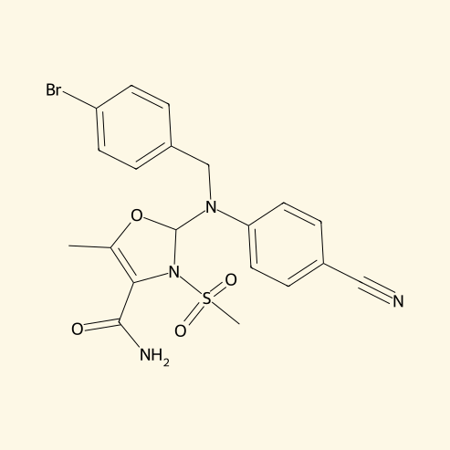 CC1=C(C(N)=O)N(S(C)(=O)=O)C(N(Cc2ccc(Br)cc2)c2ccc(C#N)cc2)O1